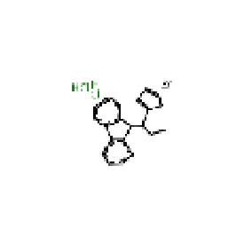 CCC(C1=CC=CC1)C1c2ccccc2-c2ccccc21.Cl.Cl.[Zr]